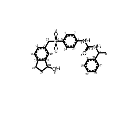 CC(NC(=O)Nc1ccc(S(=O)(=O)Cc2ccc3c(c2)C(O)CC3)cc1)c1ccccc1